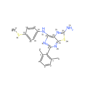 Cc1cccc(C)c1-c1nc(Nc2ccc(SC(C)C)cc2)c2nc(N)sc2n1